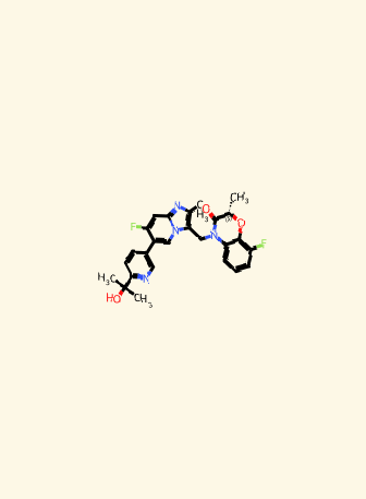 Cc1nc2cc(F)c(-c3ccc(C(C)(C)O)nc3)cn2c1CN1C(=O)[C@H](C)Oc2c(F)cccc21